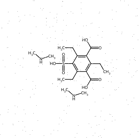 CCc1c(C(=O)O)c(CC)c(S(=O)(=O)O)c(CC)c1C(=O)O.CNC.CNC